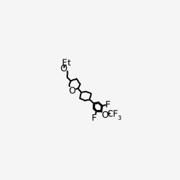 CCOCCC1CCC(C2CCC(c3cc(F)c(OC(F)(F)F)c(F)c3)CC2)OC1